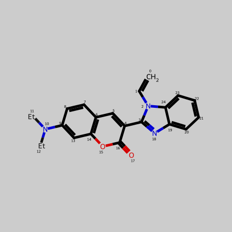 C=Cn1c(-c2cc3ccc(N(CC)CC)cc3oc2=O)nc2ccccc21